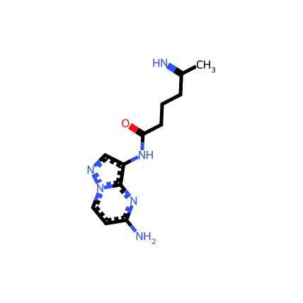 CC(=N)CCCC(=O)Nc1cnn2ccc(N)nc12